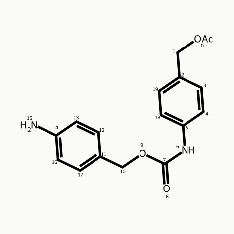 CC(=O)OCc1ccc(NC(=O)OCc2ccc(N)cc2)cc1